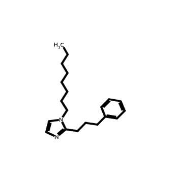 CCCCCCCCn1ccnc1CCCc1ccccc1